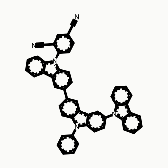 N#Cc1ccc(-n2c3ccccc3c3cc(-c4ccc5c(c4)c4cc(-n6c7ccccc7c7ccccc76)ccc4n5-c4ccccc4)ccc32)c(C#N)c1